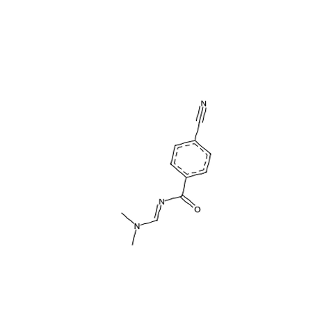 CN(C)C=NC(=O)c1ccc(C#N)cc1